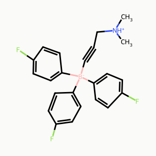 C[NH+](C)CC#C[B-](c1ccc(F)cc1)(c1ccc(F)cc1)c1ccc(F)cc1